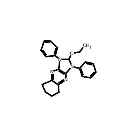 CCOC1N(c2ccccc2)c2nc3c(nc2N1c1ccccc1)CCCC3